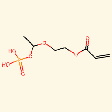 C=CC(=O)OCCOC(C)OP(=O)(O)O